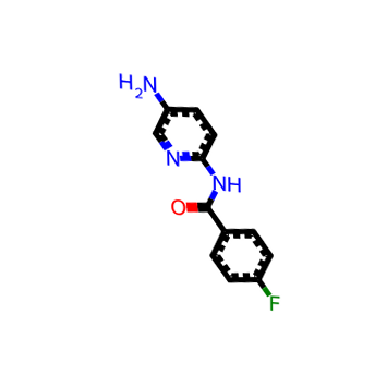 Nc1ccc(NC(=O)c2ccc(F)cc2)nc1